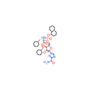 NC(=O)c1ncn([C@@H]2O/C(=C/OP(=O)(N[C@@H](Cc3ccccc3)C(=O)OCc3ccccc3)Oc3cccc4ccccc34)C(=O)C2=O)n1